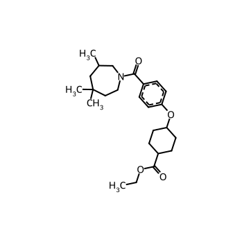 CCOC(=O)C1CCC(Oc2ccc(C(=O)N3CCC(C)(C)CC(C)C3)cc2)CC1